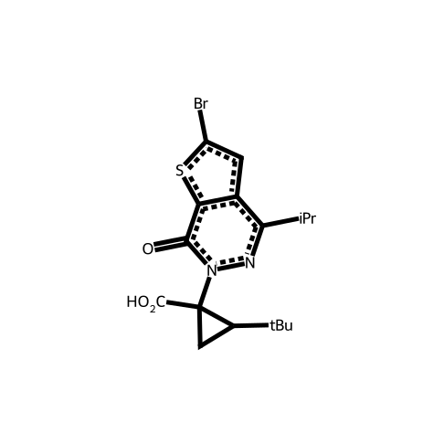 CC(C)c1nn(C2(C(=O)O)CC2C(C)(C)C)c(=O)c2sc(Br)cc12